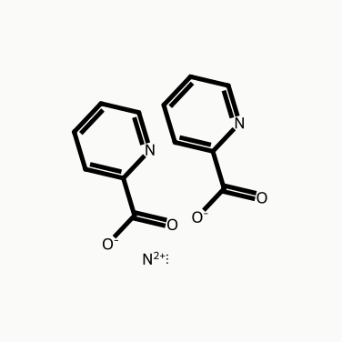 O=C([O-])c1ccccn1.O=C([O-])c1ccccn1.[N+2]